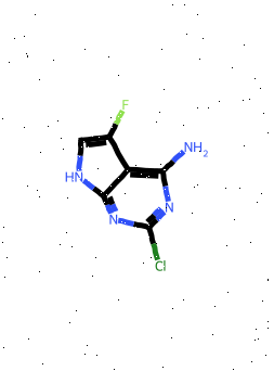 Nc1nc(Cl)nc2[nH]cc(F)c12